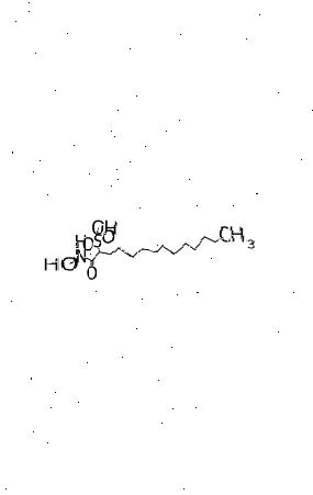 CCCCCCCCCCCCC(C(=O)NO)S(=O)(=O)O